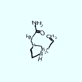 C=CC.NC(=O)NN1CCNC1